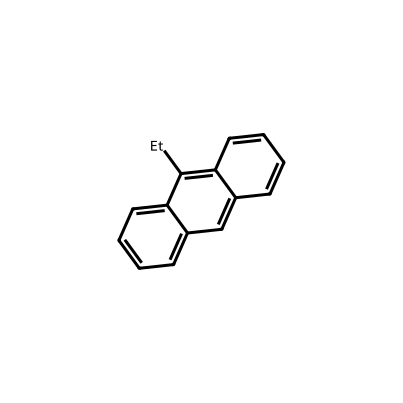 CCc1c2ccccc2cc2ccccc12